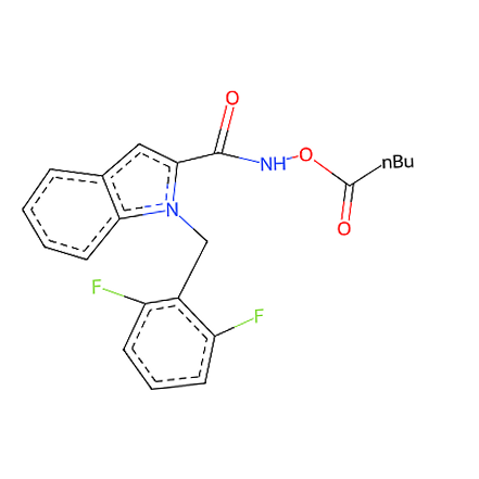 CCCCC(=O)ONC(=O)c1cc2ccccc2n1Cc1c(F)cccc1F